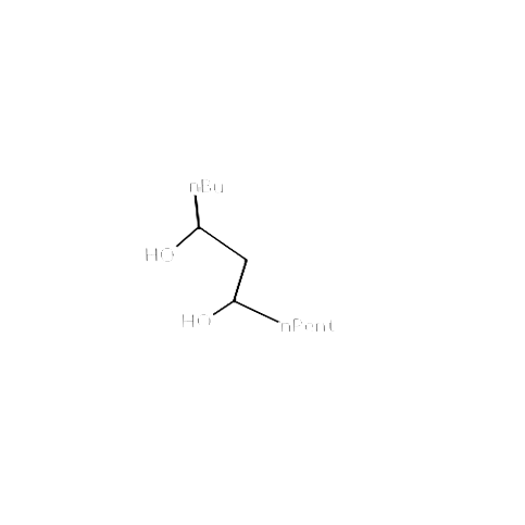 CCCCCC(O)CC(O)CCCC